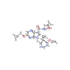 COc1ncnc(Cn2cc(C(=O)NCC3(O)CC3)c3ncc(OCC4CC4)nc32)c1C